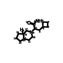 NC(=O)C(CC1CCC1)N1CCN2CCC[C@@H]2C1